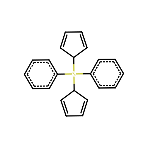 C1=CC(S(c2ccccc2)(c2ccccc2)C2C=CC=C2)C=C1